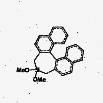 CO[Si]1(OC)Cc2ccc3ccccc3c2-c2c(ccc3ccccc23)C1